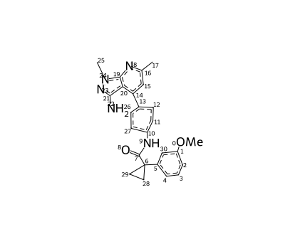 COc1cccc(C2(C(=O)Nc3ccc(-c4cc(C)nc5c4c(N)nn5C)cc3)CC2)c1